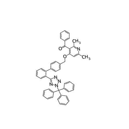 Cc1cc(OCc2ccc(-c3ccccc3-c3nnn(C(c4ccccc4)(c4ccccc4)c4ccccc4)n3)cc2)c(C(=O)c2ccccc2)c(C)n1